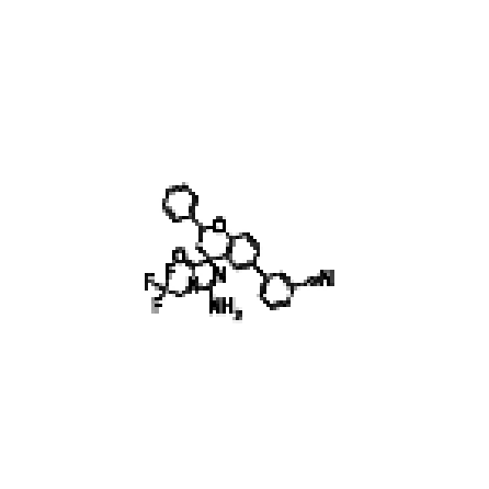 N#Cc1cccc(-c2ccc3c(c2)C2(CC(c4ccccc4)O3)N=C(N)N(CC(F)(F)F)C2=O)c1